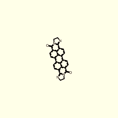 O=c1c2ccc3c4ccc5c6n(c(=O)c7ccc(c8ccc(c9n1CCN=9)c2c38)c4c75)CCN=6